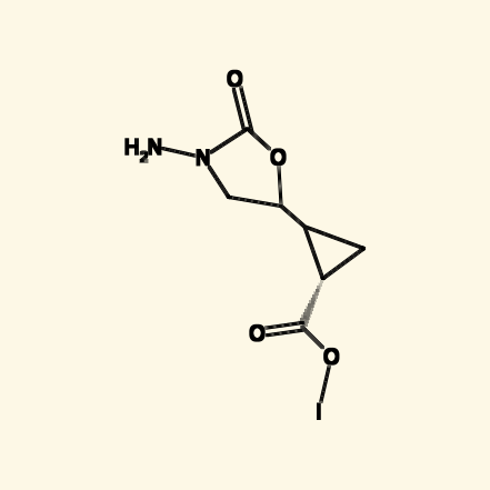 NN1CC(C2C[C@@H]2C(=O)OI)OC1=O